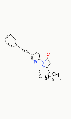 CCN1C(C(C)C)CC(=O)N1c1ccc(C#Cc2ccccc2)cn1